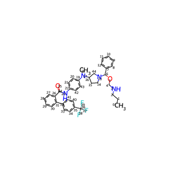 CCCNCOC(c1ccccc1)N1CCC(N(C)c2ccc(NC(=O)c3ccccc3-c3ccc(C(F)(F)F)cc3)cc2)C1